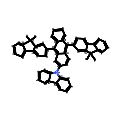 CC1(C)c2ccccc2-c2ccc(-c3c4ccccc4c(-c4ccc5c(c4)C(C)(C)c4ccccc4-5)c4cc(-n5c6ccccc6c6ccccc65)ccc34)cc21